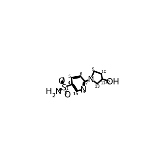 NS(=O)(=O)c1ccc(N2CCC(O)C2)nc1